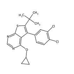 CC(C)(C)c1sc2ncnc(OC3CC3)c2c1-c1ccc(Cl)c(Cl)c1